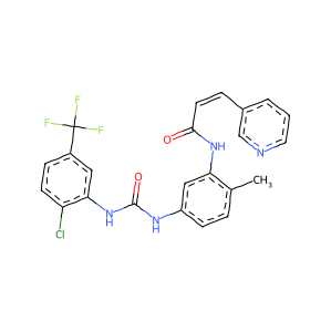 Cc1ccc(NC(=O)Nc2cc(C(F)(F)F)ccc2Cl)cc1NC(=O)/C=C\c1cccnc1